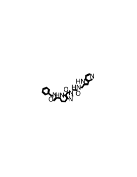 O=C(Cn1cnc2c(c1=O)NC(c1coc(-c3ccccc3)n1)CC2)NCc1cc2cnccc2[nH]1